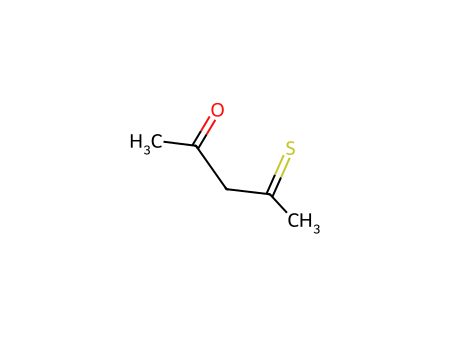 CC(=O)CC(C)=S